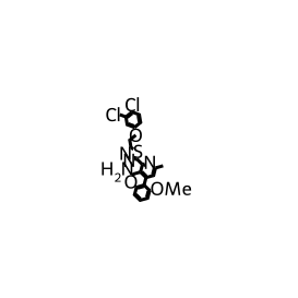 COc1ccccc1-c1cc(C)nc(-c2nnc(COc3ccc(Cl)c(Cl)c3)s2)c1C(N)=O